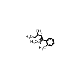 CCC(C)/C=C(\NC)c1ccccc1C